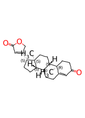 C[C@]12CC[C@H]3[C@@H](CCC4=CC(=O)CC[C@@]43C)[C@@H]1CC[C@@H]2C1=CC(=O)OC1